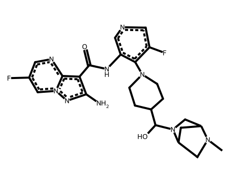 CN1CC2CC1CN2C(O)C1CCN(c2c(F)cncc2NC(=O)c2c(N)nn3cc(F)cnc23)CC1